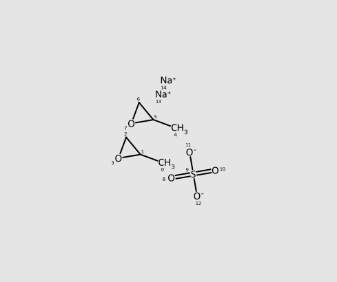 CC1CO1.CC1CO1.O=S(=O)([O-])[O-].[Na+].[Na+]